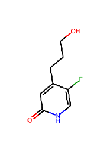 O=c1cc(CCCO)c(F)c[nH]1